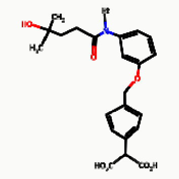 CCN(C(=O)CCC(C)(C)O)c1cccc(OCc2ccc(C(C(=O)O)C(=O)O)cc2)c1